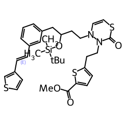 COC(=O)c1ccc(CCN2C(=O)SC=CN2CCC(Cc2cccc(/C=C/c3ccsc3)c2)O[Si](C)(C)C(C)(C)C)s1